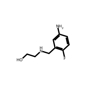 Nc1ccc(F)c(CNCCO)c1